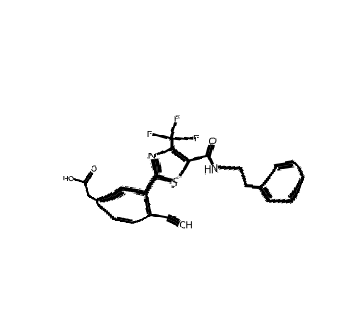 C#Cc1ccc(CC(=O)O)cc1-c1nc(C(F)(F)F)c(C(=O)NCCc2ccccc2)s1